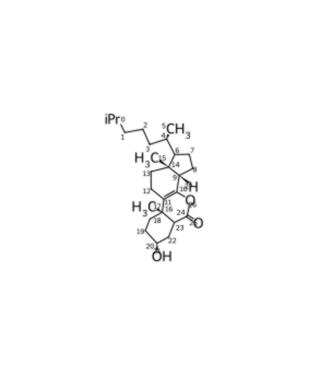 CC(C)CCC[C@@H](C)C1CC[C@@H]2C3=C(CC[C@]12C)[C@@]1(C)CC[C@H](O)CC1C(=O)O3